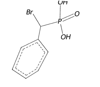 O=P(O)(O)C(Br)c1ccccc1